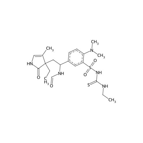 CCNC(=S)NS(=O)(=O)c1cc(C(CC2(CC)C(=O)NC=C2C)NC=O)ccc1N(C)C